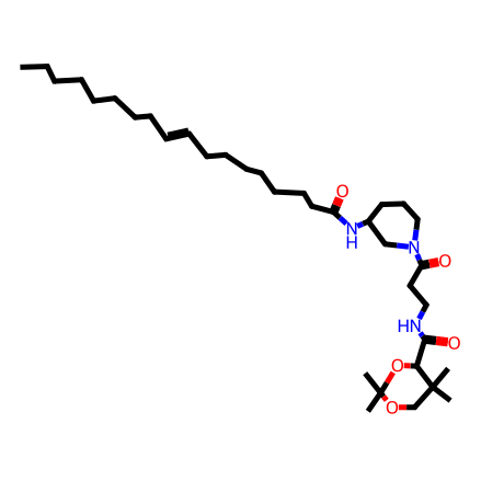 CCCCCCCCC=CCCCCCCCC(=O)NC1CCCN(C(=O)CCNC(=O)C2OC(C)(C)OCC2(C)C)C1